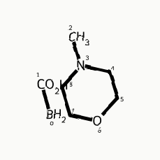 BC(=O)O.CN1CCOCC1